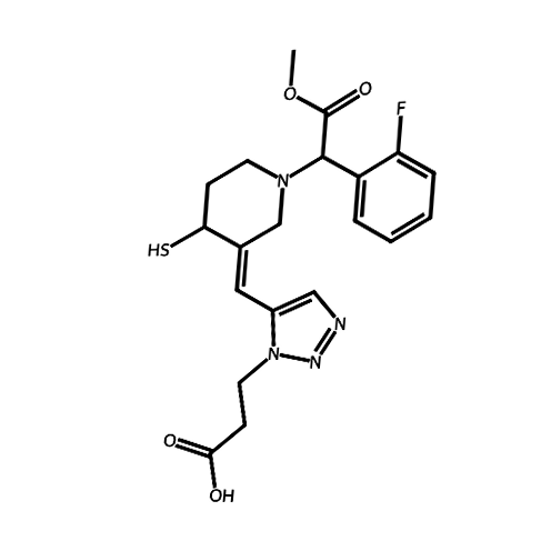 COC(=O)C(c1ccccc1F)N1CCC(S)C(=Cc2cnnn2CCC(=O)O)C1